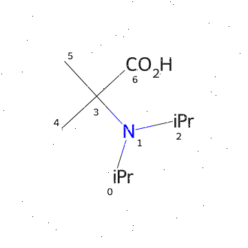 CC(C)N(C(C)C)C(C)(C)C(=O)O